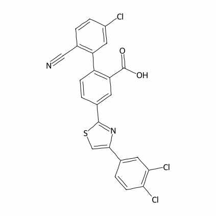 N#Cc1ccc(Cl)cc1-c1ccc(-c2nc(-c3ccc(Cl)c(Cl)c3)cs2)cc1C(=O)O